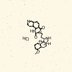 COc1cccc2c1CC[C@H]1CNC(CCn3c(=O)[nH]c4c(ccc5cnccc54)c3=O)[C@@H]21.Cl